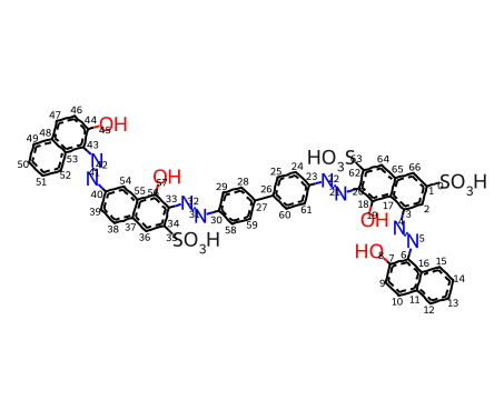 O=S(=O)(O)c1cc(N=Nc2c(O)ccc3ccccc23)c2c(O)c(N=Nc3ccc(-c4ccc(N=Nc5c(S(=O)(=O)O)cc6ccc(N=Nc7c(O)ccc8ccccc78)cc6c5O)cc4)cc3)c(S(=O)(=O)O)cc2c1